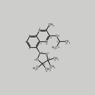 Cc1nc2cccc(B3OC(C)(C)C(C)(C)O3)c2nc1OC(C)C(F)(F)F